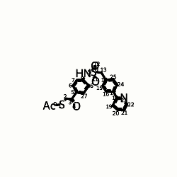 CC(=O)SCC(=O)c1ccc(NS(=O)(=O)Cc2ccc(-c3ccccn3)cc2)cc1